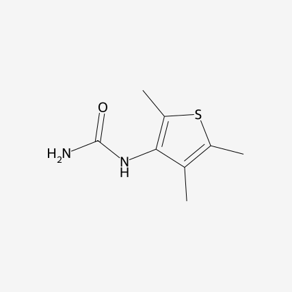 Cc1sc(C)c(NC(N)=O)c1C